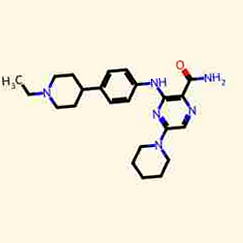 CCN1CCC(c2ccc(Nc3nc(N4CCCCC4)cnc3C(N)=O)cc2)CC1